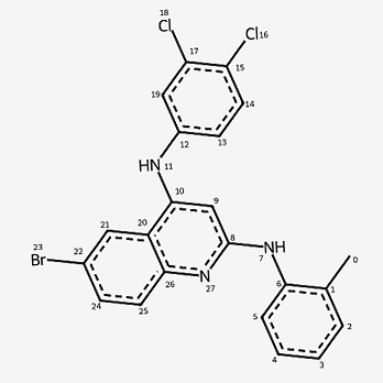 Cc1ccccc1Nc1cc(Nc2ccc(Cl)c(Cl)c2)c2cc(Br)ccc2n1